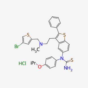 CC(C)Oc1ccc(N(C(N)=S)c2ccc3sc(-c4ccccc4)c(CCN(C)Cc4cc(Br)cs4)c3c2)cc1.Cl